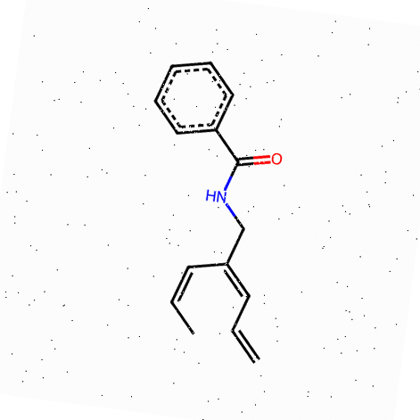 C=C/C=C(\C=C/C)CNC(=O)c1ccccc1